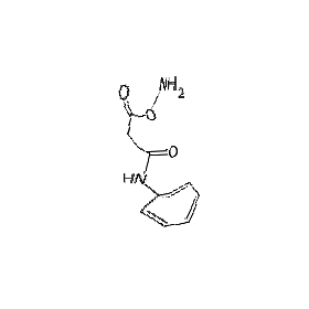 NOC(=O)CC(=O)Nc1ccccc1